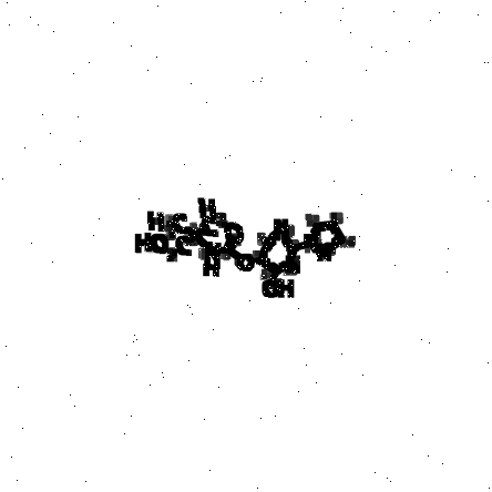 CC(C)(NC(=O)Oc1cnc(-n2cccn2)nc1O)C(=O)O